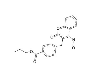 CCCOC(=O)c1ccc(Cc2c(N=O)c3ccccc3oc2=O)cc1